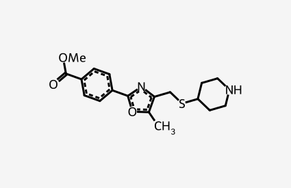 COC(=O)c1ccc(-c2nc(CSC3CCNCC3)c(C)o2)cc1